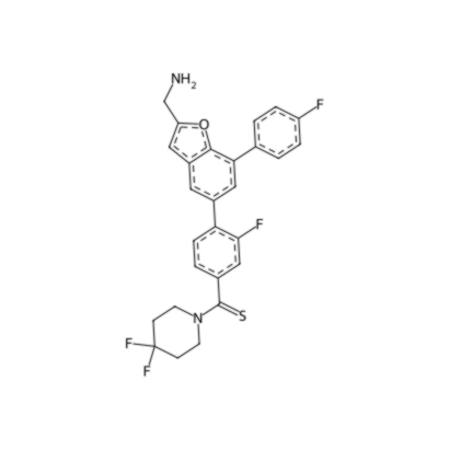 NCc1cc2cc(-c3ccc(C(=S)N4CCC(F)(F)CC4)cc3F)cc(-c3ccc(F)cc3)c2o1